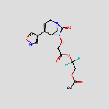 CC(C)(C)C(=O)OCC(F)(F)OC(=O)CON1C(=O)N2CC=C(c3cnoc3)C1C2